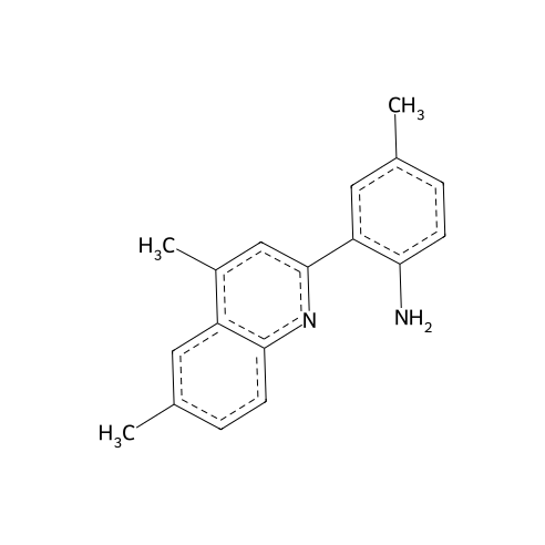 Cc1ccc(N)c(-c2cc(C)c3cc(C)ccc3n2)c1